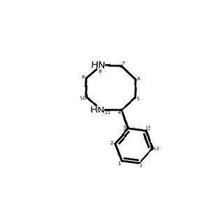 c1ccc(C2CCCNCCN2)cc1